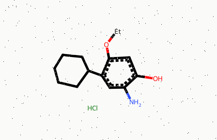 CCOc1cc(O)c(N)cc1C1CCCCC1.Cl